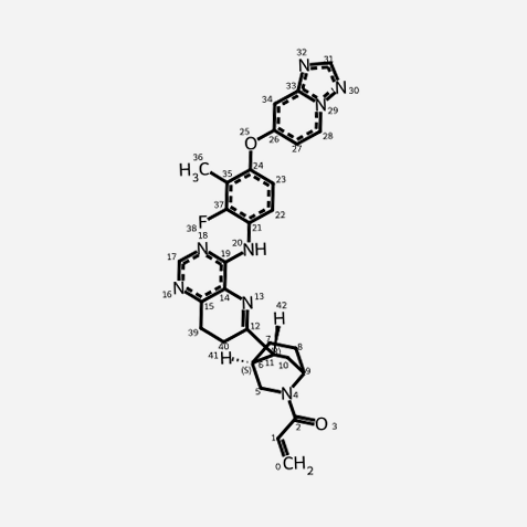 C=CC(=O)N1C[C@H]2CCC1C[C@H]2C1=Nc2c(ncnc2Nc2ccc(Oc3ccn4ncnc4c3)c(C)c2F)CC1